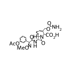 CON=C(C(=O)NC1C(=O)N2C(C(=O)O)C(COC(N)=O)=CS[C@@H]12)c1cccc(OC(C)=O)c1